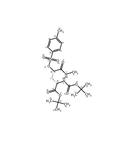 CNC(=O)[C@H](C[C@H](NC(=O)OC(C)(C)C)C(=O)OC(C)(C)C)OS(=O)(=O)c1ccc(C)cc1